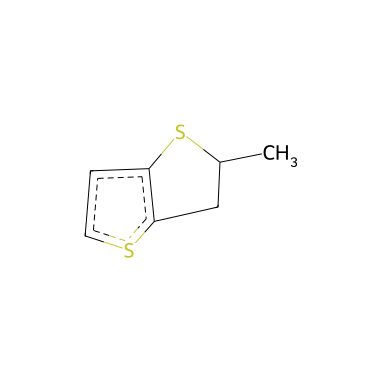 CC1Cc2sccc2S1